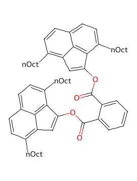 CCCCCCCCc1ccc2ccc(CCCCCCCC)c3c2c1C=C3OC(=O)c1ccccc1C(=O)OC1=Cc2c(CCCCCCCC)ccc3ccc(CCCCCCCC)c1c23